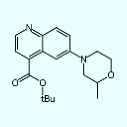 CC1CN(c2ccc3nccc(C(=O)OC(C)(C)C)c3c2)CCO1